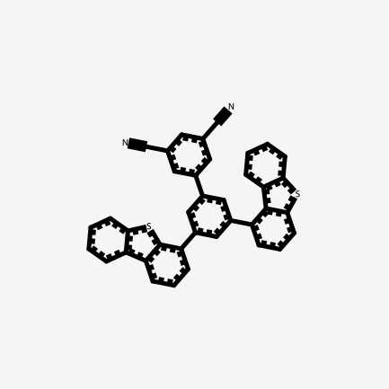 N#Cc1cc(C#N)cc(-c2cc(-c3cccc4c3sc3ccccc34)cc(-c3cccc4sc5ccccc5c34)c2)c1